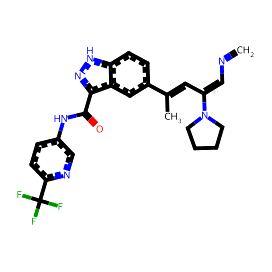 C=N/C=C(\C=C(/C)c1ccc2[nH]nc(C(=O)Nc3ccc(C(F)(F)F)nc3)c2c1)N1CCCC1